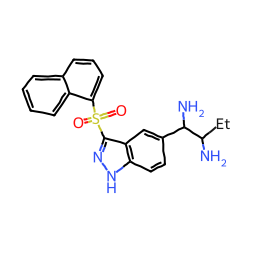 CCC(N)C(N)c1ccc2[nH]nc(S(=O)(=O)c3cccc4ccccc34)c2c1